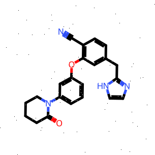 N#Cc1ccc(Cc2ncc[nH]2)cc1Oc1cccc(N2CCCCC2=O)c1